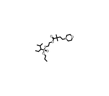 CCCOP(=O)(SCCOC(=O)C(C)(C)CCN1CCOCC1)C(CC)C(C)C